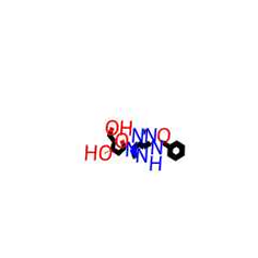 O=C(Nc1ncnc2c1ncn2C1C[C@H](O)C(CO)O1)c1ccccc1